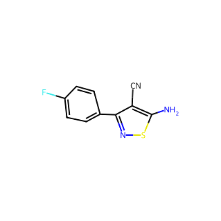 N#Cc1c(-c2ccc(F)cc2)nsc1N